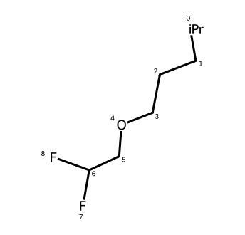 CC(C)CCCOCC(F)F